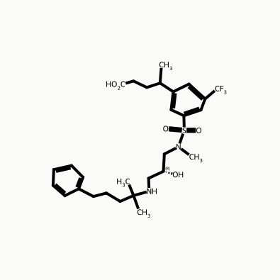 CC(CCC(=O)O)c1cc(C(F)(F)F)cc(S(=O)(=O)N(C)C[C@H](O)CNC(C)(C)CCCc2ccccc2)c1